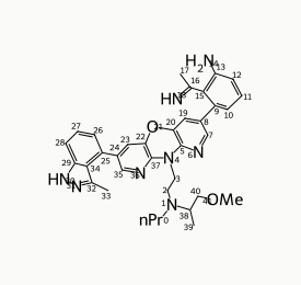 CCCN(CCN1c2ncc(-c3cccc(N)c3C(C)=N)cc2Oc2cc(-c3cccc4[nH]nc(C)c34)cnc21)C(C)COC